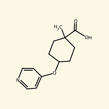 CC1(C(=O)O)CCC(Oc2ccncc2)CC1